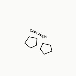 C1CCCC1.C1CCCC1.N=C=O